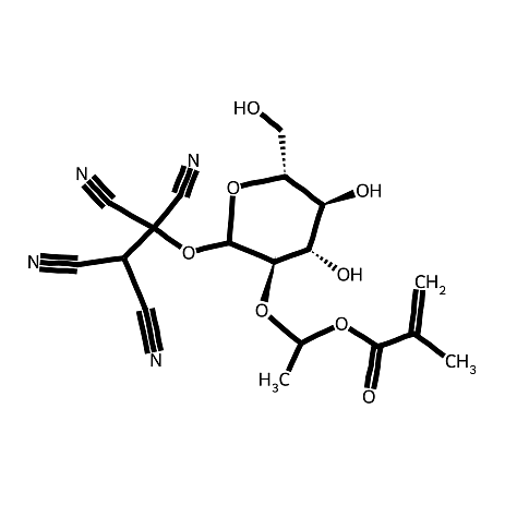 C=C(C)C(=O)OC(C)O[C@H]1C(OC(C#N)(C#N)C(C#N)C#N)O[C@H](CO)[C@@H](O)[C@@H]1O